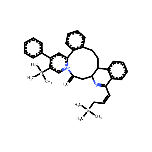 C=C1CC2N=C(/C=C\C[Si](C)(C)C)c3ccccc3C2CCc2ccccc2-c2cc(-c3ccccc3)c([Si](C)(C)C)c[n+]21